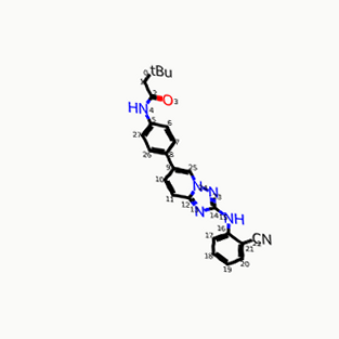 CC(C)(C)CC(=O)Nc1ccc(-c2ccc3nc(Nc4ccccc4C#N)nn3c2)cc1